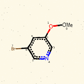 COOc1cncc(Br)c1